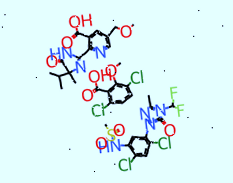 COCc1cnc(C2=NC(C)(C(C)C)C(=O)N2)c(C(=O)O)c1.COc1c(Cl)ccc(Cl)c1C(=O)O.Cc1nn(-c2cc(NS(C)(=O)=O)c(Cl)cc2Cl)c(=O)n1C(F)F